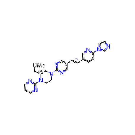 COC[C@H]1CN(c2ncc(/C=C/c3ccc(-n4ccnc4)nc3)cn2)CCN1c1ncccn1